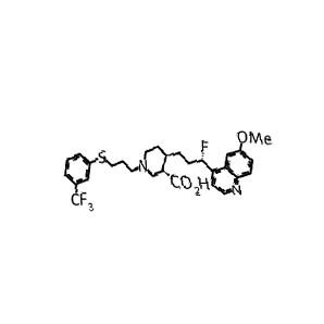 COc1ccc2nccc([C@@H](F)CC[C@@H]3CCN(CCCSc4cccc(C(F)(F)F)c4)C[C@@H]3C(=O)O)c2c1